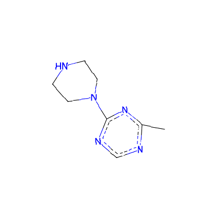 Cc1ncnc(N2CCNCC2)n1